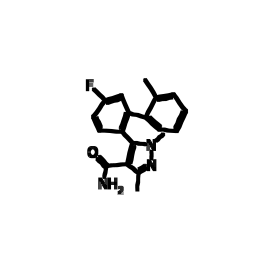 Cc1ccccc1-c1cc(F)ccc1-c1c(C(N)=O)c(C)nn1C